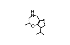 CC(C)C1CSC2=C1O[C@@H](C)CNC2